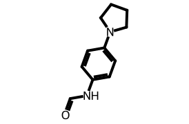 O=CNc1ccc(N2CCCC2)cc1